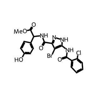 COC(=O)C(NC(=O)c1n[nH]c(NC(=O)c2ccccc2Cl)c1Br)c1ccc(O)cc1